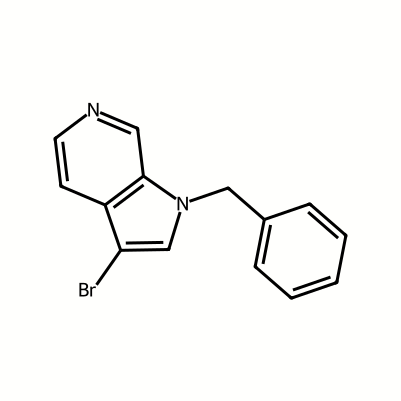 Brc1cn(Cc2ccccc2)c2cnccc12